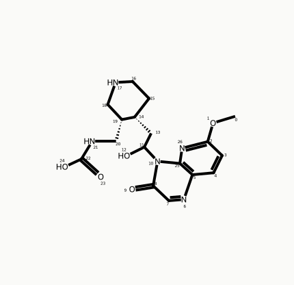 COc1ccc2ncc(=O)n(C(O)C[C@H]3CCNC[C@H]3CNC(=O)O)c2n1